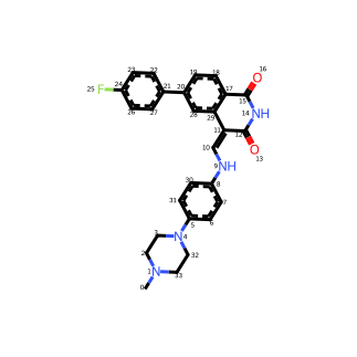 CN1CCN(c2ccc(NC=C3C(=O)NC(=O)c4ccc(-c5ccc(F)cc5)cc43)cc2)CC1